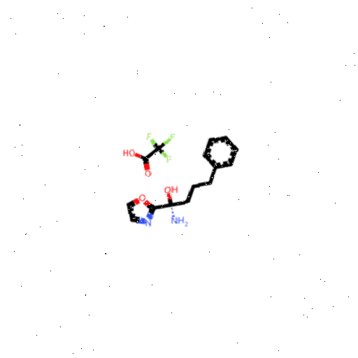 N[C@](O)(CCCc1ccccc1)c1ncco1.O=C(O)C(F)(F)F